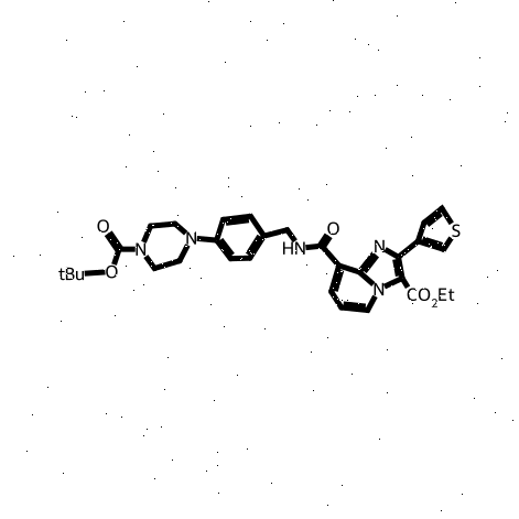 CCOC(=O)c1c(-c2ccsc2)nc2c(C(=O)NCc3ccc(N4CCN(C(=O)OC(C)(C)C)CC4)cc3)cccn12